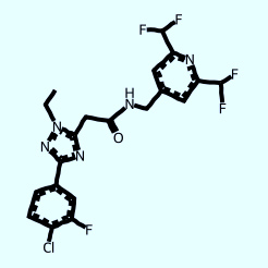 CCn1nc(-c2ccc(Cl)c(F)c2)nc1CC(=O)NCc1cc(C(F)F)nc(C(F)F)c1